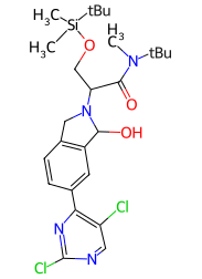 CN(C(=O)C(CO[Si](C)(C)C(C)(C)C)N1Cc2ccc(-c3nc(Cl)ncc3Cl)cc2C1O)C(C)(C)C